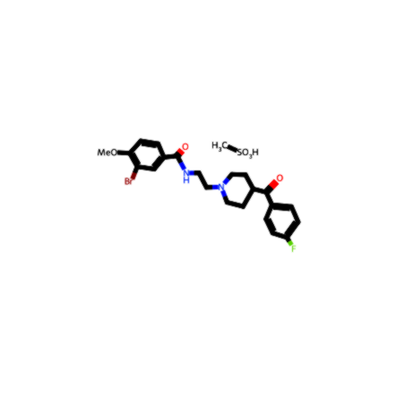 COc1ccc(C(=O)NCCN2CCC(C(=O)c3ccc(F)cc3)CC2)cc1Br.CS(=O)(=O)O